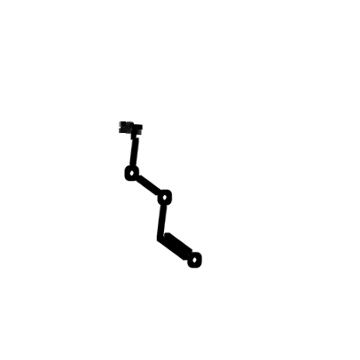 O=COO[18F]